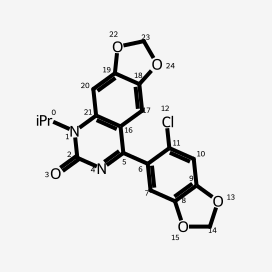 CC(C)n1c(=O)nc(-c2cc3c(cc2Cl)OCO3)c2cc3c(cc21)OCO3